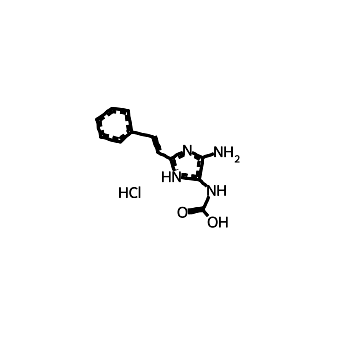 Cl.Nc1nc(C=Cc2ccccc2)[nH]c1NC(=O)O